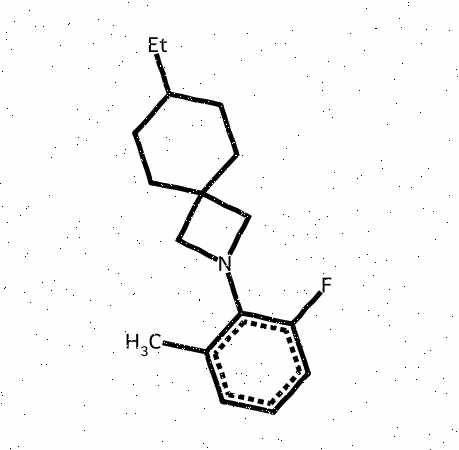 CCC1CCC2(CC1)CN(c1c(C)cccc1F)C2